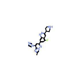 Cc1cn2nc(-c3cc(F)c4cc(C5CCNCC5)nnc4c3)cc(-n3ccnc3)c2n1